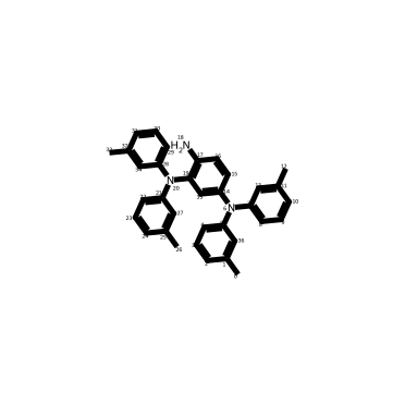 Cc1cccc(N(c2cccc(C)c2)c2ccc(N)c(N(c3cccc(C)c3)c3cccc(C)c3)c2)c1